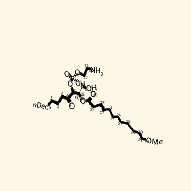 CCCCCCCCCCCCCC(=O)C(OP(=O)(O)OCCN)[C@H](CO)OC(=O)CCCCCCCCCCCOC